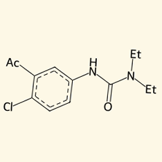 CCN(CC)C(=O)Nc1ccc(Cl)c(C(C)=O)c1